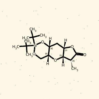 C[C@H]1C(=O)O[C@H]2C[C@H]3O[Si](C(C)(C)C)(C(C)(C)C)OC[C@H]3O[C@H]21